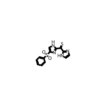 O=S(=O)(c1ccccc1)c1c[nH]c(C(=S)c2ncc[nH]2)n1